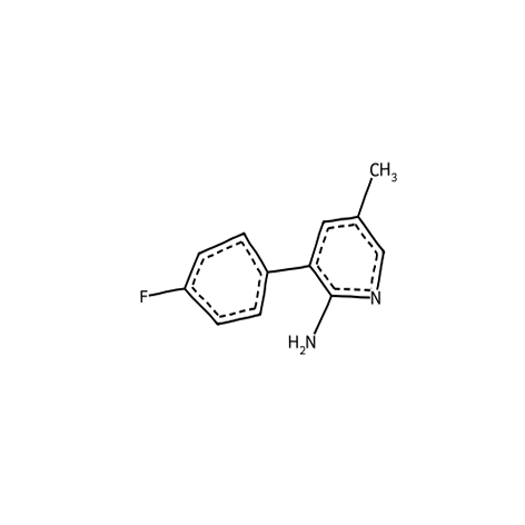 Cc1cnc(N)c(-c2ccc(F)cc2)c1